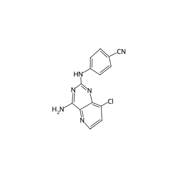 N#Cc1ccc(Nc2nc(N)c3nccc(Cl)c3n2)cc1